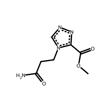 COC(=O)c1nn[c]n1CCC(N)=O